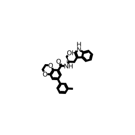 Cc1cccc(-c2cc3c(c(C(=O)N[C@@H](CO)Cc4c[nH]c5ccccc45)c2)OCCO3)c1